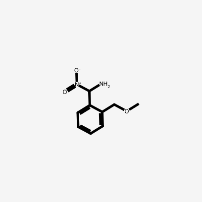 COCc1ccccc1C(N)[N+](=O)[O-]